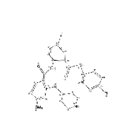 CSc1ccc(C(=O)Nc2ccc(F)cc2C(=O)Nc2ccc(Cl)cn2)c(OC2CCNCC2)c1